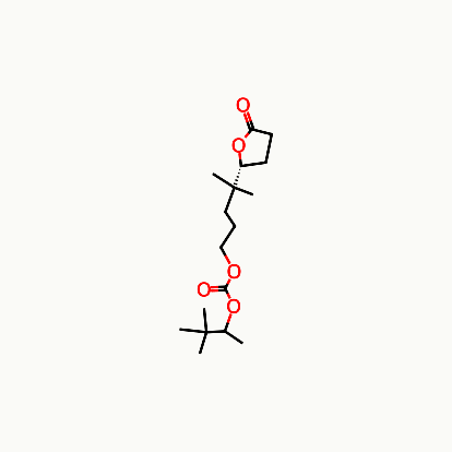 CC(OC(=O)OCCCC(C)(C)[C@H]1CCC(=O)O1)C(C)(C)C